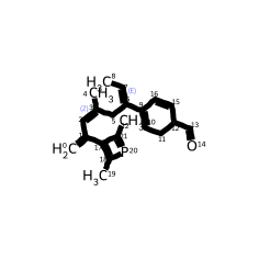 C=C(/C=C(/C)C/C(=C\C)C1=CCC(C=O)C=C1)C1=C(C)P=C1C